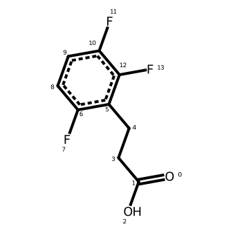 O=C(O)CCc1c(F)ccc(F)c1F